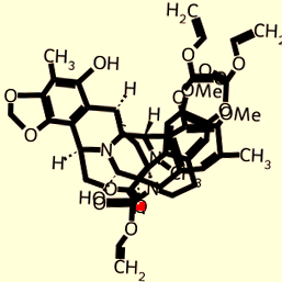 C=COC(=O)Oc1cc2c(cc1OC)[C@@]1(CS[C@@H]3c4c(O)c(C)c5c(c4[C@H](COC1=O)N1C3[C@@H]3c4c(cc(C)c(OC)c4OC(=O)OC=C)C[C@@H]([C@@H]1O)N3C)OCO5)N(C(=O)OC=C)CC2